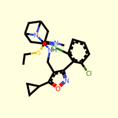 CCS/C(=N\C)N1C2CC(NCc3c(-c4c(Cl)cccc4Cl)noc3C3CC3)CC1C2